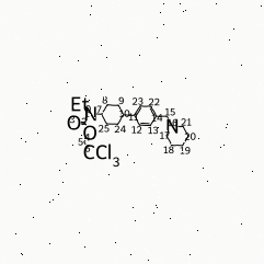 CCN(C(=O)OCC(Cl)(Cl)Cl)C1CCC(c2ccc(CN3CCCCC3)cc2)CC1